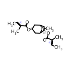 C/C=C(\C)C(=O)O[C@H]1CC2C[C@H](OC(=O)/C(C)=C/C)C(C1)N2C